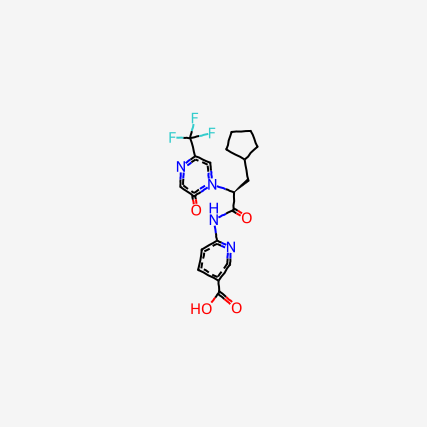 O=C(O)c1ccc(NC(=O)[C@H](CC2CCCC2)n2cc(C(F)(F)F)ncc2=O)nc1